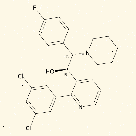 O[C@H](c1cccnc1-c1cc(Cl)cc(Cl)c1)[C@H](c1ccc(F)cc1)N1CCCCC1